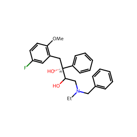 CCN(Cc1ccccc1)CC(O)[C@@](O)(Cc1cc(F)ccc1OC)c1ccccc1